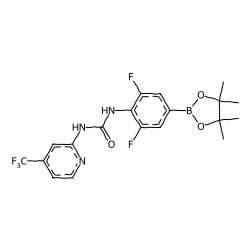 CC1(C)OB(c2cc(F)c(NC(=O)Nc3cc(C(F)(F)F)ccn3)c(F)c2)OC1(C)C